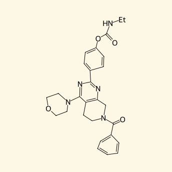 CCNC(=O)Oc1ccc(-c2nc3c(c(N4CCOCC4)n2)CCN(C(=O)c2ccccc2)C3)cc1